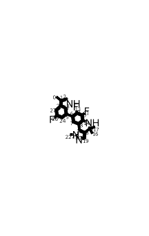 Cc1c[nH]c2c(-c3cc4c(c(F)c3F)NC(C)(C)c3cnn(C)c3-4)cc(F)cc12